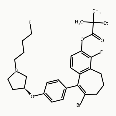 CCC(C)(C)C(=O)Oc1ccc2c(c1F)CCCC(Br)=C2c1ccc(O[C@H]2CCN(CCCCF)C2)cc1